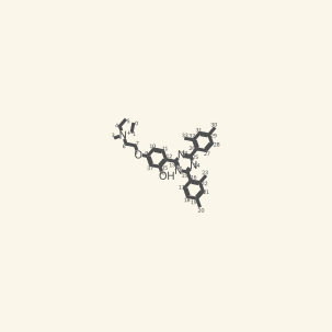 CC[N+](C)(CC)CCOc1ccc(-c2nc(-c3ccc(C)cc3C)nc(-c3ccc(C)cc3C)n2)c(O)c1